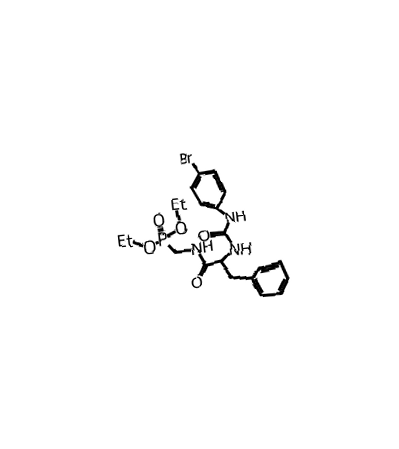 CCOP(=O)(CNC(=O)C(Cc1ccccc1)NC(=O)Nc1ccc(Br)cc1)OCC